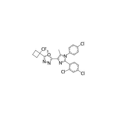 Cc1c(-c2nnc(C3(C(F)(F)F)CCC3)o2)nc(-c2ccc(Cl)cc2Cl)n1-c1ccc(Cl)cc1